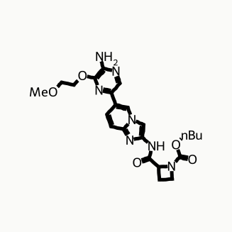 CCCCOC(=O)N1CCC1C(=O)Nc1cn2cc(-c3cnc(N)c(OCCOC)n3)ccc2n1